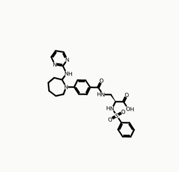 O=C(NC[C@H](NS(=O)(=O)c1ccccc1)C(=O)O)c1ccc(N2CCCCCC2Nc2ncccn2)cc1